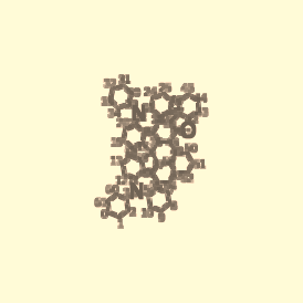 c1ccc(N(c2ccccc2)c2cccc(C3(c4cccc(N(c5ccccc5)c5ccccc5)c4)c4ccc5c(oc6ccccc65)c4-c4cccc5cccc3c45)c2)cc1